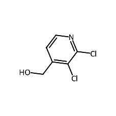 OCc1ccnc(Cl)c1Cl